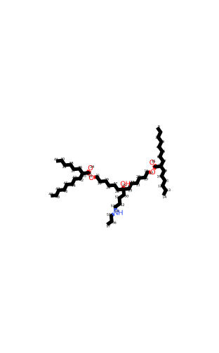 CCCCCCCCC(CCCCCC)C(=O)OCCCCCCC(O)(CCCCCCOC(=O)C(CCCCCC)CCCCCCCC)CCCCNCCC